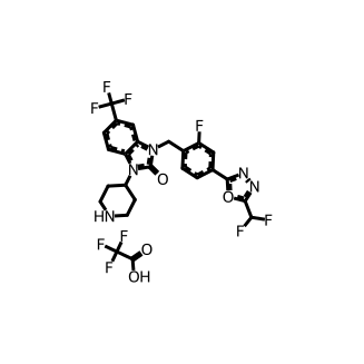 O=C(O)C(F)(F)F.O=c1n(Cc2ccc(-c3nnc(C(F)F)o3)cc2F)c2cc(C(F)(F)F)ccc2n1C1CCNCC1